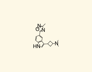 Cc1noc(-c2ccc3[nH]cc(C4CC(N(C)C)C4)c3c2)n1